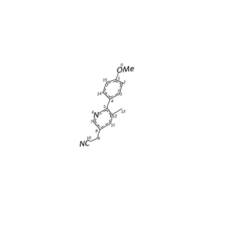 COc1ccc(-c2ncc(CC#N)cc2C)cc1